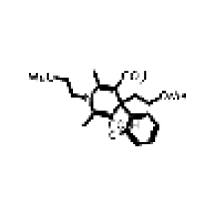 COCCN1C(C)=C(C(=O)O)C(CCOC)(c2ccccc2Cl)C(C(=O)O)=C1C